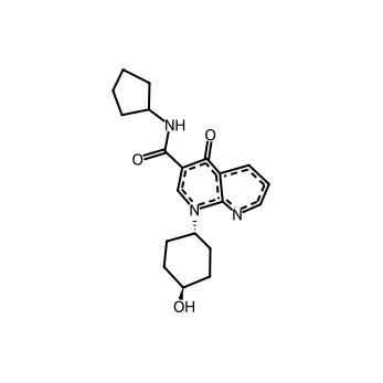 O=C(NC1CCCC1)c1cn([C@H]2CC[C@H](O)CC2)c2ncccc2c1=O